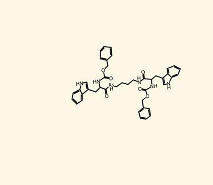 O=C(NC(Cc1c[nH]c2ccccc12)C(=O)NCCCC[AsH]C(=O)C(Cc1c[nH]c2ccccc12)NC(=O)OCc1ccccc1)OCc1ccccc1